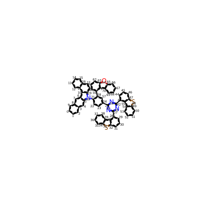 c1ccc2cc3c(cc2c1)c1c2ccccc2ccc1n3-c1ccc(-c2nc(-c3cccc4sc5ccccc5c34)nc(-c3cccc4sc5ccccc5c34)n2)cc1-c1cccc2oc3ccccc3c12